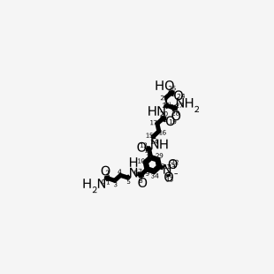 NC(=O)CCCNC(=O)c1cc(C(=O)NCCCC(=O)N[C@@H](CC(=O)O)C(N)=O)cc([N+](=O)[O-])c1